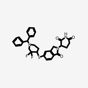 O=C1CCC(N2Cc3cc(SC4CCN(C(c5ccccc5)c5ccccc5)CC4(F)F)ccc3C2=O)C(=O)N1